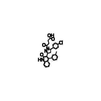 Cc1cccc(-c2c(C3=NN(C(=O)CCC(=O)O)C(c4ccc(Cl)cc4)C3)c(=O)[nH]c3ccccc23)c1